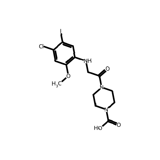 COc1cc(Cl)c(I)cc1NCC(=O)N1CCN(C(=O)O)CC1